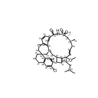 CO[C@@]1(CCN(C)C)/C=C/C[C@H](C)[C@@H](C)S(=O)(=O)NC(=O)c2ccc3c(c2)N(C[C@@H]2CC[C@H]21)C[C@@]1(CCCc2cc(Cl)ccc21)CO3